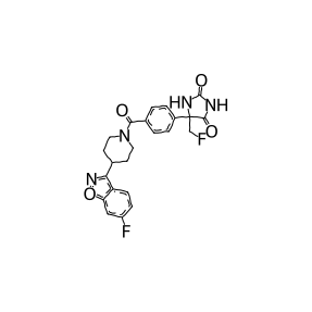 O=C1NC(=O)C(CF)(c2ccc(C(=O)N3CCC(c4noc5cc(F)ccc45)CC3)cc2)N1